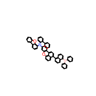 c1cccc(-c2ccccc2N(C2=CC3=C(CC2)c2ccc(-c4cccc5c(B(c6ccccc6)c6ccccc6)cccc45)c4cccc(c24)O3)c2cccc3c2oc2ccccc23)c#1